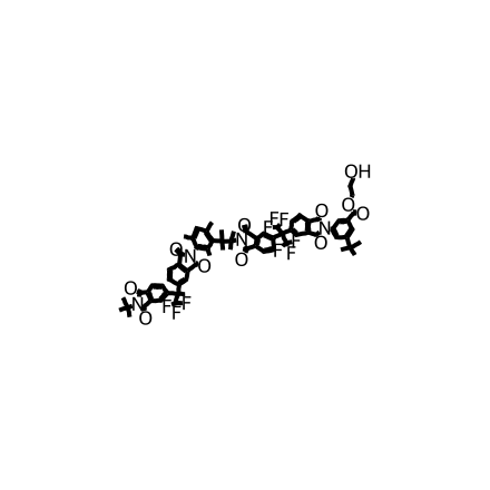 Cc1cc(C)c(C(C)(C)C(C)(C)N2C(=O)c3ccc(C(c4ccc5c(c4)C(=O)N(c4cc(C(=O)OCCCO)cc(C(C)(C)C)c4)C5=O)(C(F)(F)F)C(F)(F)F)cc3C2=O)c(C)c1N1C(=O)c2ccc(C(C)(c3ccc4c(c3)C(=O)N(C(C)(C)C)C4=O)C(F)(F)F)cc2C1=O